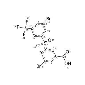 O=C(O)c1cc(Br)cc(S(=O)(=O)c2cc(Br)cc(C(F)(F)F)c2)c1